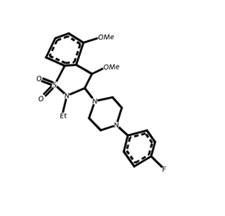 CCN1C(N2CCN(c3ccc(F)cc3)CC2)C(OC)c2c(OC)cccc2S1(=O)=O